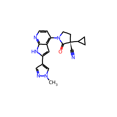 Cn1cc(-c2cc3c(N4CC[C@](C#N)(C5CC5)C4=O)ccnc3[nH]2)cn1